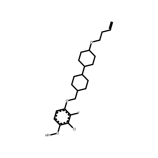 C=CCCOC1CCC(C2CCC(COc3ccc(OCCC)c(Cl)c3F)CC2)CC1